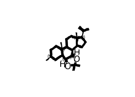 C=C(C)[C@H]1CCC2C3C(CC[C@@]21C)[C@@]1(C)CC[C@H](C)CC1[C@H]1OC(C)(C)O[C@H]31